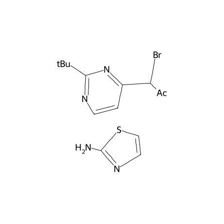 CC(=O)C(Br)c1ccnc(C(C)(C)C)n1.Nc1nccs1